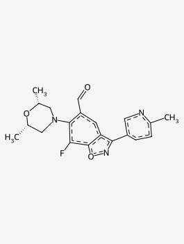 Cc1ccc(-c2noc3c(F)c(N4C[C@@H](C)O[C@@H](C)C4)c(C=O)cc23)cn1